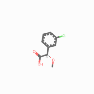 CO[C@H](C(=O)O)c1cccc(Cl)c1